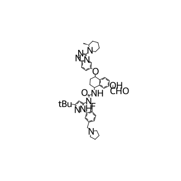 C[C@H]1CCCCN1c1nnc2ccc(O[C@@H]3CC[C@H](NC(=O)Nc4cc(C(C)(C)C)nn4-c4cc(CN5CCCC5)ccc4F)c4ccccc43)cn12.O=CO